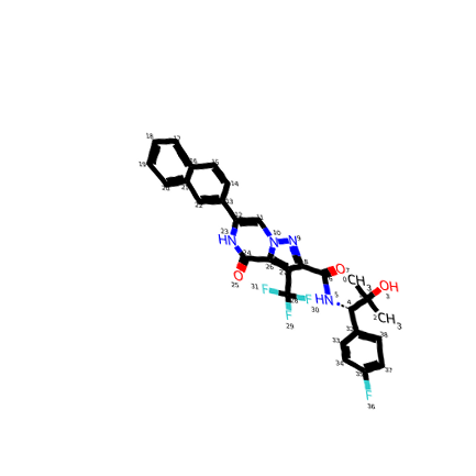 CC(C)(O)[C@@H](NC(=O)c1nn2cc(-c3ccc4ccccc4c3)[nH]c(=O)c2c1C(F)(F)F)c1ccc(F)cc1